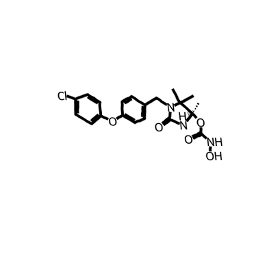 CC1(C)N(Cc2ccc(Oc3ccc(Cl)cc3)cc2)C(=O)N[C@]1(C)OC(=O)NO